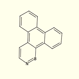 b1nccc2c1c1ccccc1c1ccccc21